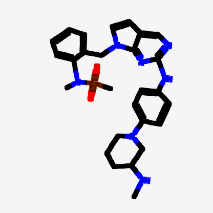 CNC1CCCN(c2ccc(Nc3ncc4ccn(Cc5ccccc5N(C)S(C)(=O)=O)c4n3)cc2)C1